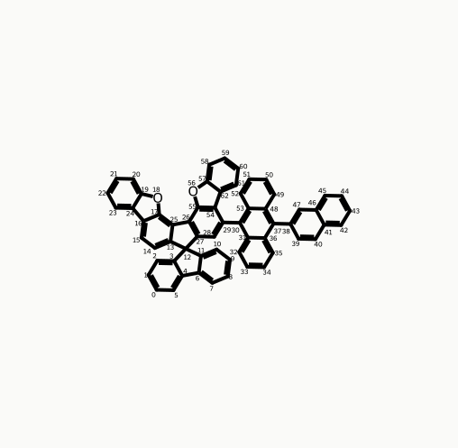 c1ccc2c(c1)-c1ccccc1C21c2ccc3c(oc4ccccc43)c2-c2c1cc(-c1c3ccccc3c(-c3ccc4ccccc4c3)c3ccccc13)c1c2oc2ccccc21